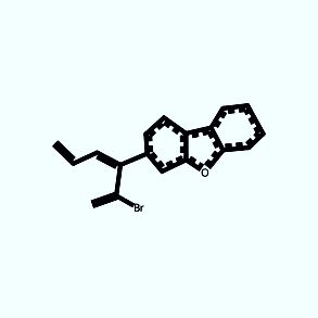 C=C/C=C(\C(=C)Br)c1ccc2c(c1)oc1ccccc12